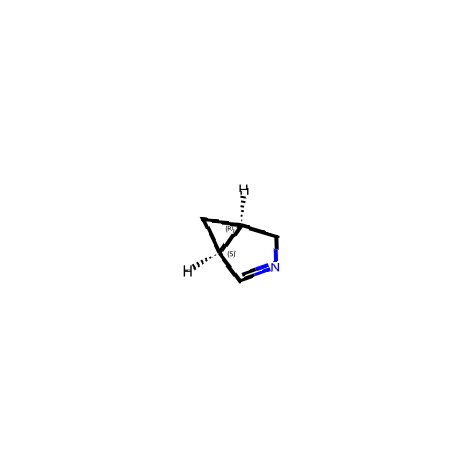 C1=NC[C@@H]2C[C@H]12